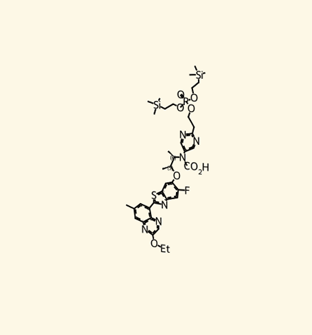 CCOc1cnc2c(-c3nc4cc(F)c(O[C@@H](C)[C@@H](C)N(C(=O)O)c5cnc(CCOP(=O)(OCC[Si](C)(C)C)OCC[Si](C)(C)C)nc5)cc4s3)cc(C)cc2n1